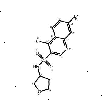 O=S(=O)(NC1CCOC1)c1cnc2cc(Br)ccc2c1Cl